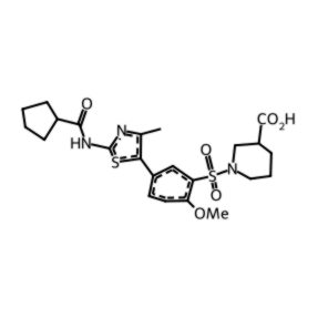 COc1ccc(-c2sc(NC(=O)C3CCCC3)nc2C)cc1S(=O)(=O)N1CCCC(C(=O)O)C1